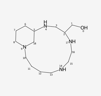 OCC1CNC2CCCN(CCCCNCCN1)C2